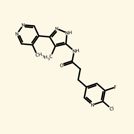 Cc1cnncc1-c1n[nH]c(NC(=O)CCc2cnc(Cl)c(F)c2)c1C